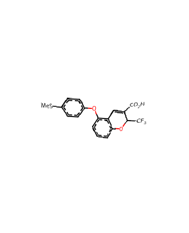 CSc1ccc(Oc2cccc3c2C=C(C(=O)O)C(C(F)(F)F)O3)cc1